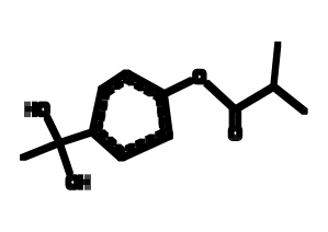 CC(C)C(=O)Oc1ccc(C(C)(O)O)cc1